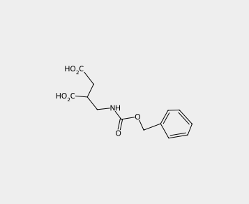 O=C(O)CC(CNC(=O)OCc1ccccc1)C(=O)O